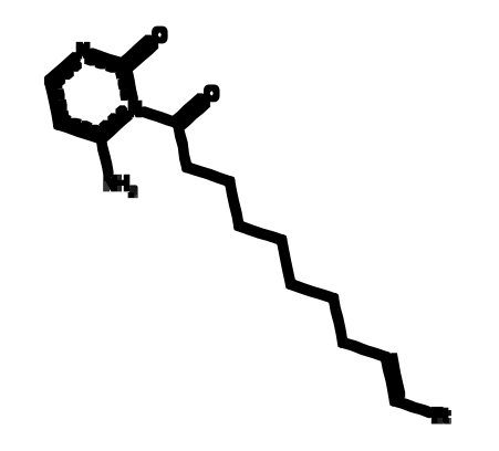 CCC=CCCCCCCCC(=O)n1c(N)ccnc1=O